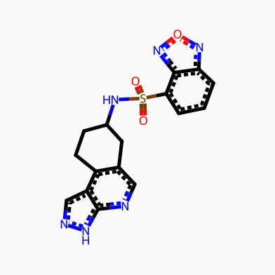 O=S(=O)(NC1CCc2c(cnc3[nH]ncc23)C1)c1cccc2nonc12